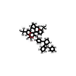 CC(C)(C)c1ccc(N(c2cccc(-c3cccc4c3c3ccccc3n4-c3ccccc3)c2)c2ccccc2-c2cccc3cccc(-c4cc(C(C)(C)C)cc(C(C)(C)C)c4)c23)cc1